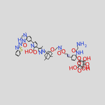 Cc1c(-c2ccc(-c3ccc4c(c3)N(C(=O)Nc3nc5ccccc5s3)CCN4C)nc2C(=O)O)cnn1CC12CC3(C)CC(C)(C1)CC(OCCN(C)C(=O)OC/C=C/c1ccc(O[C@@H]4O[C@H](C(=O)O)[C@@H](O)[C@H](O)[C@H]4O)c(NC(=O)CCN)c1)(C3)C2